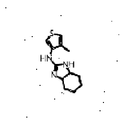 Cc1cscc1NC1=NC2CCCCC2N1